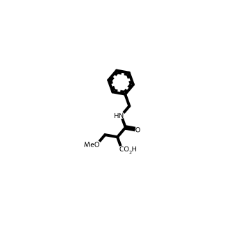 COCC(C(=O)O)C(=O)NCc1ccccc1